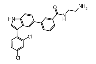 NCCNC(=O)c1cccc(-c2ccc3[nH]cc(-c4ccc(Cl)cc4Cl)c3c2)c1